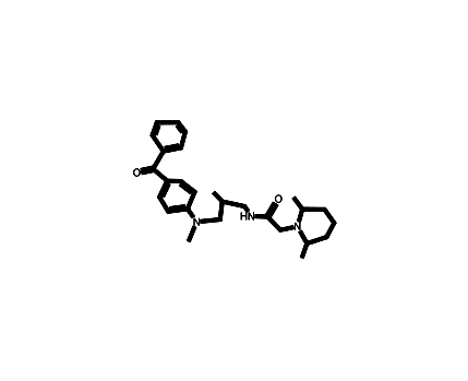 CC(CNC(=O)CN1C(C)CCCC1C)CN(C)c1ccc(C(=O)c2ccccc2)cc1